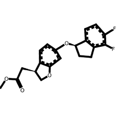 COC(=O)C[C@@H]1COc2cc(O[C@@H]3CCc4c3ccc(F)c4F)ccc21